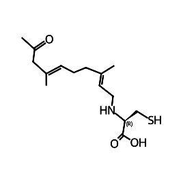 CC(=O)CC(C)=CCCC(C)=CCN[C@@H](CS)C(=O)O